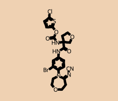 N#CN=C1CCOCCN1c1ccc(NC(=O)C2(NC(=O)Oc3ccc(Cl)s3)CCOC2)cc1Br